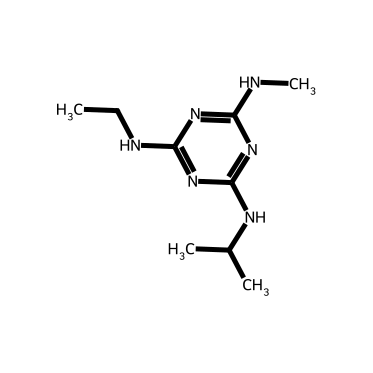 CCNc1nc(NC)nc(NC(C)C)n1